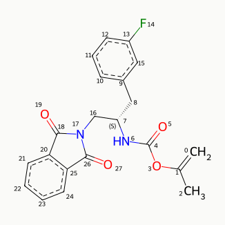 C=C(C)OC(=O)N[C@@H](Cc1cccc(F)c1)CN1C(=O)c2ccccc2C1=O